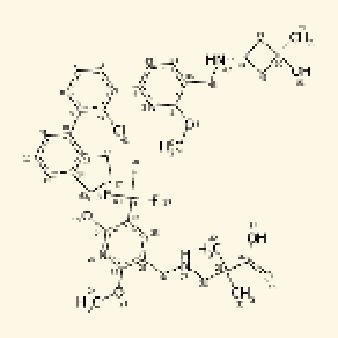 COc1nc(-c2cccc(-c3cccc4c3CC[C@@H]4Oc3nc(OC)c(CNCC(C)(C)C(=O)O)cc3C(F)(F)F)c2Cl)ccc1CN[C@H]1C[C@](C)(O)C1